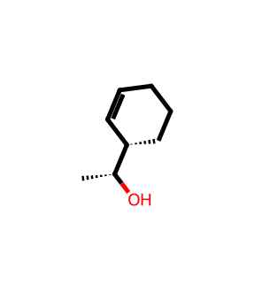 C[C@@H](O)[C@@H]1C=CCCC1